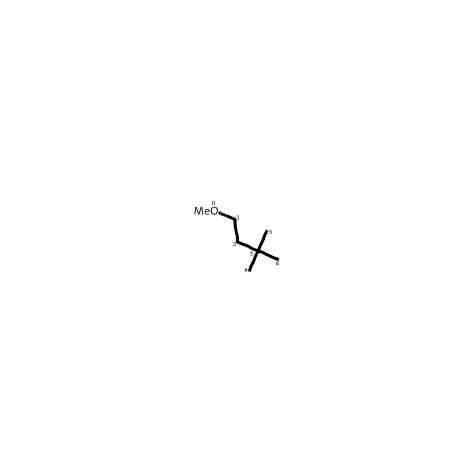 CO[CH]CC(C)(C)C